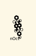 CCCCCCCCOC1CCC(N2C(=O)c3ccc4c5c(ccc(c35)C2=O)C(=O)N(C2CCCCC2)C4=O)CC1